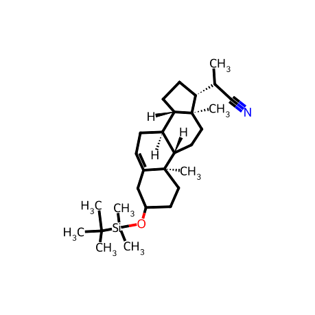 CC(C#N)[C@H]1CC[C@H]2[C@@H]3CC=C4CC(O[Si](C)(C)C(C)(C)C)CC[C@]4(C)[C@H]3CC[C@]12C